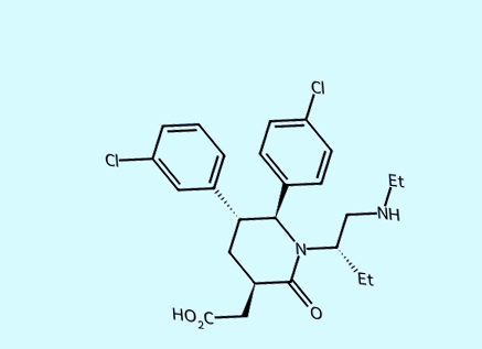 CCNC[C@H](CC)N1C(=O)[C@@H](CC(=O)O)C[C@H](c2cccc(Cl)c2)[C@H]1c1ccc(Cl)cc1